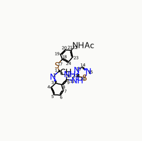 C=C(/N=C1/C=CC=C/C1=C(/N)Nc1ncns1)Sc1ccc(NC(C)=O)cc1